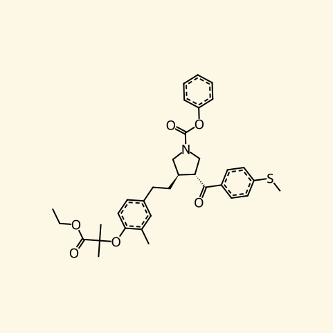 CCOC(=O)C(C)(C)Oc1ccc(CC[C@H]2CN(C(=O)Oc3ccccc3)C[C@@H]2C(=O)c2ccc(SC)cc2)cc1C